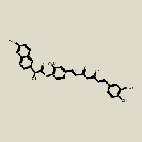 COc1ccc2cc(C(C)C(=O)Oc3ccc(/C=C/C(=O)/C=C(O)/C=C/c4ccc(O)c(OC)c4)cc3OC)ccc2c1